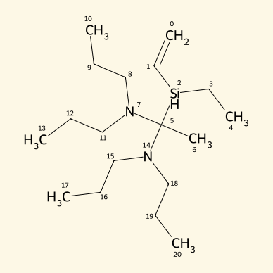 C=C[SiH](CC)C(C)(N(CCC)CCC)N(CCC)CCC